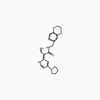 N=C/C(C(=O)NCc1ccc2c(c1)OCCO2)=C1/C=C(N2CCCC2)C=CN1